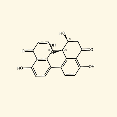 O=C1C[C@H](O)[C@@H]2c3c(ccc(O)c31)-c1ccc(O)c3c1[C@@]2(O)C=CC3=O